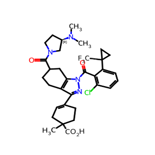 CN(C)[C@@H]1CCN(C(=O)C2CCc3c(C4=CCC(C)(C(=O)O)CC4)nn(C(=O)c4c(Cl)cccc4C4(C(F)(F)F)CC4)c3C2)C1